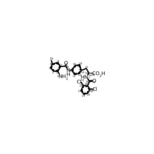 Nc1ccc(I)cc1C(=O)Nc1ccc(C[C@H](NC(=O)c2c(Cl)cccc2Cl)C(=O)O)cc1